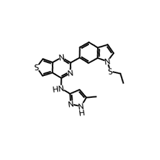 CCSn1ccc2ccc(-c3nc(Nc4cc(C)[nH]n4)c4cscc4n3)cc21